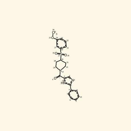 O=C(c1cnc(-c2ccccc2)[nH]1)N1CCC(S(=O)(=O)c2cccc(OC(F)(F)F)c2)CC1